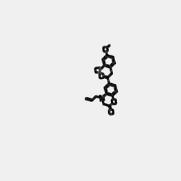 C=CCN1CC(=O)Oc2ccc(C(=O)Cc3ccc(OC)cc3Cl)cc21